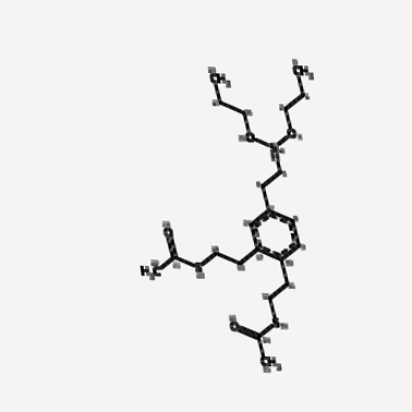 CCCO[SiH](CCc1ccc(CCSC(C)=O)c(CCSC(C)=O)c1)OCCC